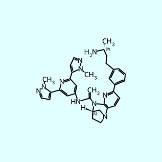 C=C(Nc1cc(-c2ccnn2C)nc(-c2ccnn2C)c1)N1c2nc(-c3cccc(CC[C@@H](C)N)c3)ccc2N2CC[C@H]1C2